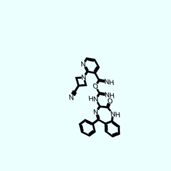 N#CC1CN(c2ncccc2C(=N)OC(=N)NC2N=C(c3ccccc3)c3ccccc3NC2=O)C1